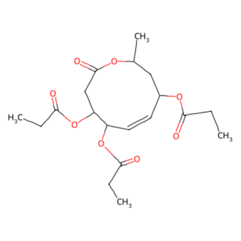 CCC(=O)OC1C=CC(OC(=O)CC)C(OC(=O)CC)CC(=O)OC(C)C1